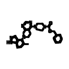 Cc1ccc2[nH]ncc2c1N1CCc2c(ncnc2N2CCN(C(=O)OCc3ccccc3)CC2)C1